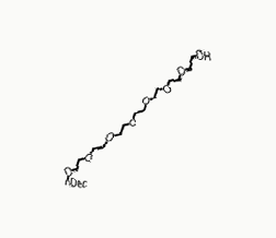 CCCCCCCCCCOCCOCCOCCOCCOCCOCCOCCO